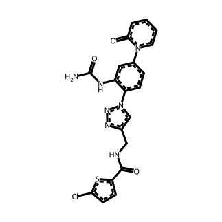 NC(=O)Nc1cc(-n2ccccc2=O)ccc1-n1cc(CNC(=O)c2ccc(Cl)s2)nn1